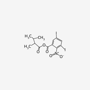 CC(C)C(C)C(=O)OC(=O)c1cc(I)cc(I)c1[N+](=O)[O-]